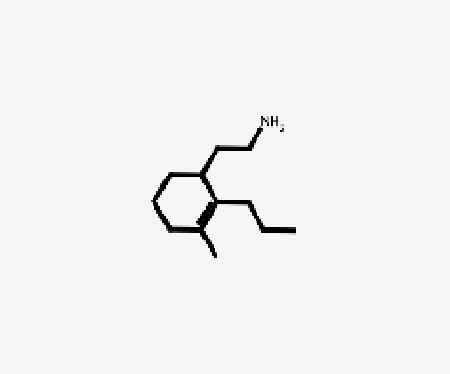 CCCC1=C(C)CCCC1CCN